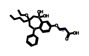 CCCCC1(OCC)CN(c2ccccc2)c2ccc(O/C=C/C(=O)O)cc2S(O)(O)C1